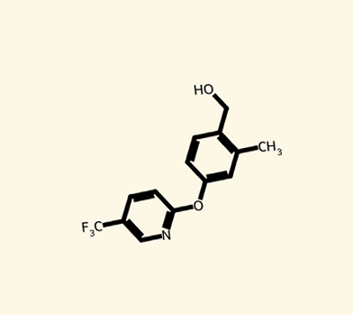 Cc1cc(Oc2ccc(C(F)(F)F)cn2)ccc1CO